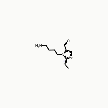 C/N=c1\scc(C=O)n1CCCCN